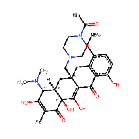 CNCc1ccc(O)c2c1C[C@@]1(CN3CCN(C(=O)C(C)(C)C)CC3)C[C@H]3[C@H](N(C)C)C(O)=C(C(C)=O)C(=O)[C@@]3(O)C(O)=C1C2=O